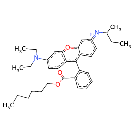 CCCCCCOC(=O)c1ccccc1-c1c2cc/c(=N\C(C)CC)cc-2oc2cc(N(CC)CC)ccc12